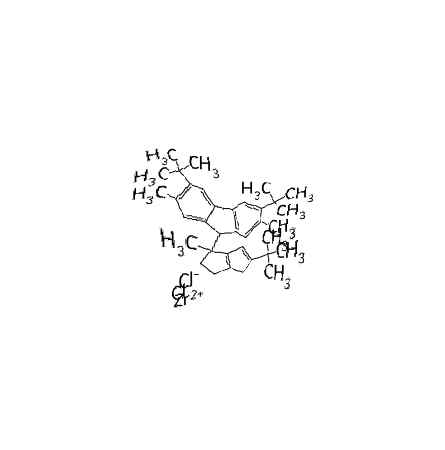 Cc1cc2c(cc1C(C)(C)C)-c1cc(C(C)(C)C)c(C)cc1C2C1(C)CCC2=C1C=C(C(C)(C)C)C2.[Cl-].[Cl-].[Zr+2]